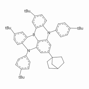 CC(C)(C)c1ccc(N2c3ccc(C(C)(C)C)cc3B3c4cc(C(C)(C)C)ccc4N(c4ccc(C(C)(C)C)cc4)c4cc(C56CCC(CC5)C6)cc2c43)cc1